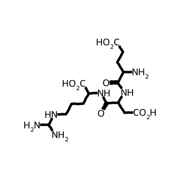 NC(N)NCCCC(NC(=O)C(CC(=O)O)NC(=O)C(N)CCC(=O)O)C(=O)O